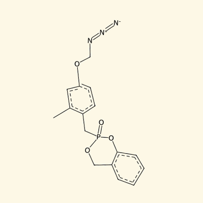 Cc1cc(OCN=[N+]=[N-])ccc1CP1(=O)OCc2ccccc2O1